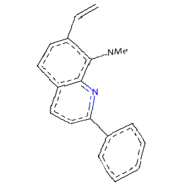 C=Cc1ccc2ccc(-c3ccccc3)nc2c1NC